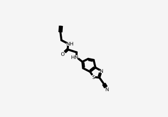 C#CCNC(=O)CNc1ccc2nc(C#N)sc2c1